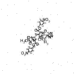 CC([C@H]1C(=O)N2C(C(=O)OCc3ccc([N+](=O)[O-])cc3)=C(S[C@H]3C[C@@H](C(=O)N(C)C)N(C(=O)OCc4ccc([N+](=O)[O-])cc4)C3)[C@H](C)[C@H]12)n1cnnn1